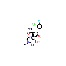 CCN1C[C@H](C)n2c(c(O)c3c(=O)n(Cc4ccc(F)c(Cl)c4)cc(C(=O)NC)c32)C1=O